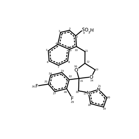 O=S(=O)(O)c1ccc2ccccc2c1CC1COC(Cn2cccn2)(c2ccc(F)cc2F)O1